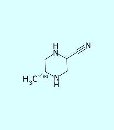 C[C@@H]1CNC(C#N)CN1